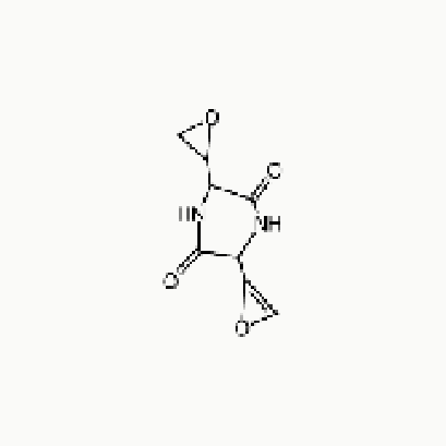 O=C1NC(C2CO2)C(=O)NC1C1=CO1